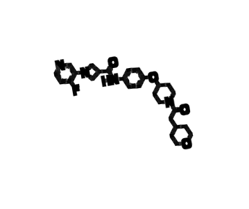 O=C(Nc1ccc(OC2CCN(C(=O)CC3CCOCC3)CC2)cc1)C1CN(c2cnccc2F)C1